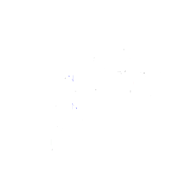 CC1(C)OB(c2ccnc(N3CCC(F)(F)C3)c2)OC1(C)C